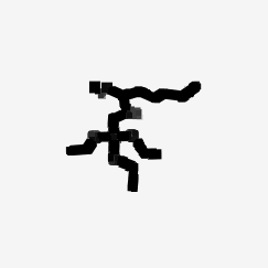 CCCCCC(N)NC[Si](OCC)(OCC)OCC